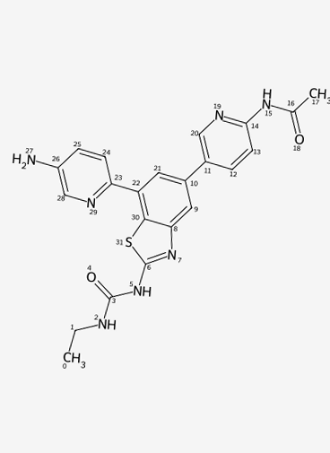 CCNC(=O)Nc1nc2cc(-c3ccc(NC(C)=O)nc3)cc(-c3ccc(N)cn3)c2s1